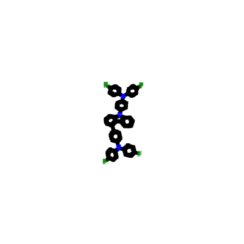 Fc1ccc(N(c2ccc(F)cc2)c2ccc(-c3cccc4c3c3ccccc3n4-c3ccc(N(c4ccc(F)cc4)c4ccc(F)cc4)cc3)cc2)cc1